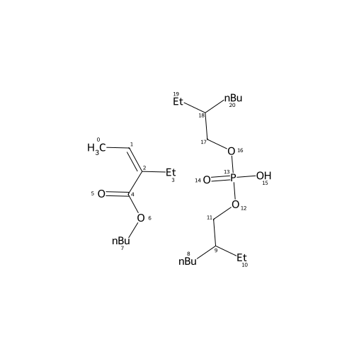 CC=C(CC)C(=O)OCCCC.CCCCC(CC)COP(=O)(O)OCC(CC)CCCC